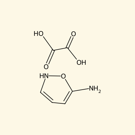 NC1=CC=CNO1.O=C(O)C(=O)O